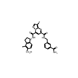 Cc1c(C(=O)O)ccc2c1CC[C@@H]2NC(=O)c1cc(C(=O)NCc2cccc(C(N)=O)c2)nc2c(F)cnn12